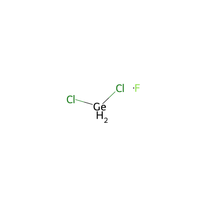 [Cl][GeH2][Cl].[F]